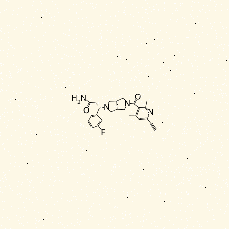 C#Cc1cc(C)c(C(=O)N2CC3CN([C@@H](CC(N)=O)c4cccc(F)c4)CC3C2)c(C)n1